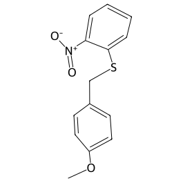 COc1ccc(CSc2ccccc2[N+](=O)[O-])cc1